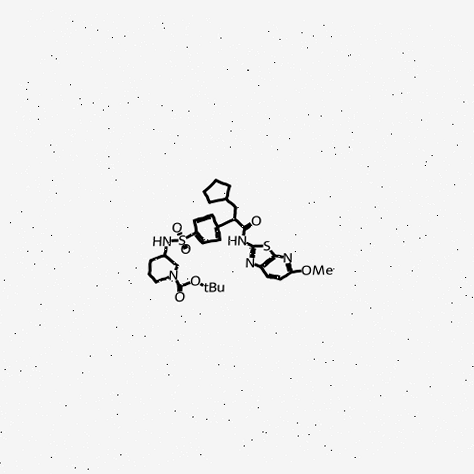 COc1ccc2nc(NC(=O)C(CC3CCCC3)c3ccc(S(=O)(=O)NC4CCCN(C(=O)OC(C)(C)C)C4)cc3)sc2n1